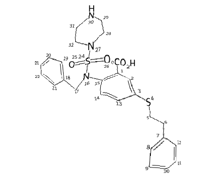 O=C(O)c1cc(SCCc2ccccc2)ccc1N(Cc1ccccc1)S(=O)(=O)N1CCNCC1